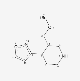 CC(C)(C)OCC1CNCCC1c1ccon1